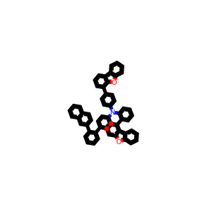 c1ccc(-c2ccc3ccccc3c2)c(-c2ccc(N(c3ccc(-c4cccc5c4oc4ccccc45)cc3)c3ccccc3-c3cccc4oc5ccccc5c34)cc2)c1